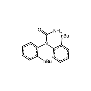 CCCCc1ccccc1N(C(N)=O)c1ccccc1CCCC